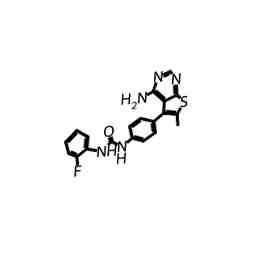 Cc1sc2ncnc(N)c2c1-c1ccc(NC(=O)Nc2ccccc2F)cc1